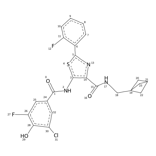 O=C(Nc1sc(-c2ccccc2F)nc1C(=O)NCC12CC(C1)C2)c1cc(F)c(O)c(Cl)c1